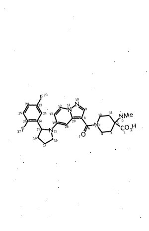 CNC1(C(=O)O)CCN(C(=O)c2cnn3ccc(N4CCCC4c4cc(F)ccc4F)cc23)CC1